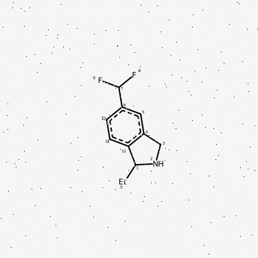 CCC1NCc2cc(C(F)F)ccc21